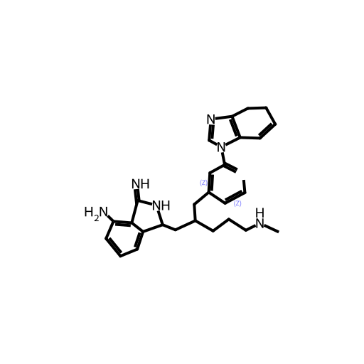 C=C(/C=C(\C=C/C)CC(CCCNC)CC1NC(=N)c2c(N)cccc21)n1cnc2c1C=CCC2